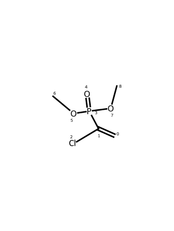 C=C(Cl)P(=O)(OC)OC